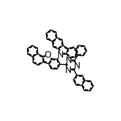 c1ccc(-c2nc(-c3ccc4ccccc4c3)nc(-c3ccc4c(oc5c6ccccc6ccc45)c3-n3c4ccccc4c4cc5ccccc5cc43)n2)cc1